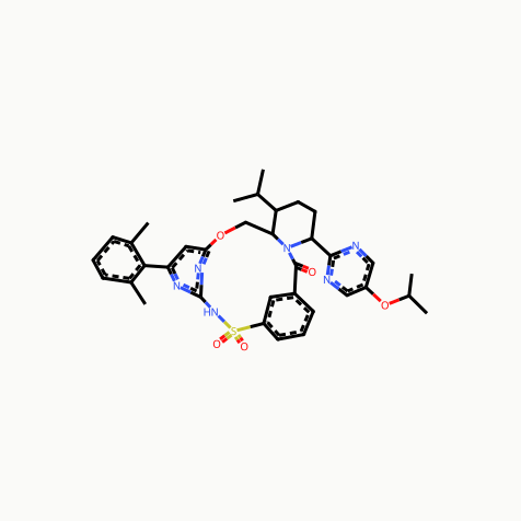 Cc1cccc(C)c1-c1cc2nc(n1)NS(=O)(=O)c1cccc(c1)C(=O)N1C(c3ncc(OC(C)C)cn3)CCC(C(C)C)C1CO2